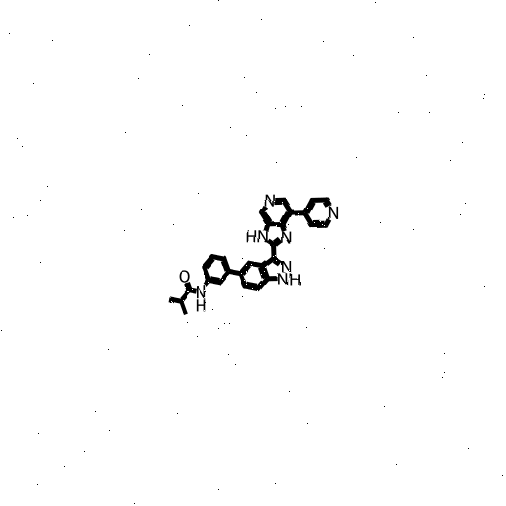 CC(C)C(=O)Nc1cccc(-c2ccc3[nH]nc(-c4nc5c(-c6ccncc6)cncc5[nH]4)c3c2)c1